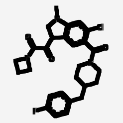 CN1CC(C(=O)C(=O)N2CCC2)c2cc(C(=O)N3CCC(Cc4ccc(F)cc4)CC3)c(Cl)cc21